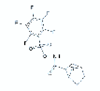 O=C(NOS(=O)(=O)c1c(F)c(F)c(F)c(F)c1F)C1CC2CCC1O2